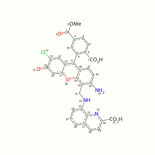 COC(=O)c1ccc(C(=O)O)c(-c2c3cc(Cl)c(=O)cc-3oc3c(CNc4cccc5ccc(C(=O)O)nc45)c(N)ccc23)c1